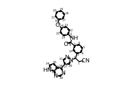 N#CCC(c1cccc(C(=O)Nc2ccc(Oc3ccccc3)cc2)c1)n1cc(-c2ncnc3[nH]ccc23)cn1